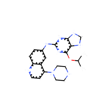 CC(C)Oc1nc(Nc2ccc3nccc(N4CCNCC4)c3c2)nc2c1NCN2